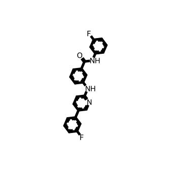 O=C(Nc1cccc(F)c1)c1cccc(Nc2ccc(-c3cccc(F)c3)cn2)c1